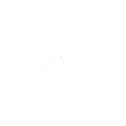 COCCONC(=O)[C@@H]1CCC2CN1C(=O)N2OS(=O)(=O)O